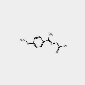 COc1ccc(/C(C)=C/CC(=O)O)cc1